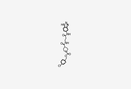 O=C(CCNC(=O)C1CCN(C(=O)OCc2ccc(Cl)cc2)CC1)Nc1ccc2[nH]nnc2c1